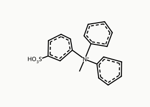 C[N+](c1ccccc1)(c1ccccc1)c1cccc(S(=O)(=O)O)c1